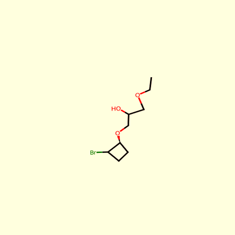 CCOCC(O)CO[C@H]1CCC1Br